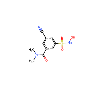 CN(C)C(=O)c1cc(C#N)cc(S(=O)(=O)NO)c1